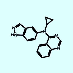 c1ccc2c(N(c3ccc4[nH]ncc4c3)C3CC3)ncnc2c1